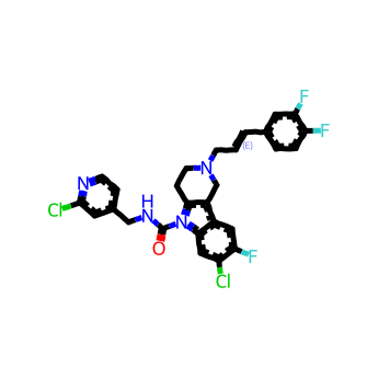 O=C(NCc1ccnc(Cl)c1)n1c2c(c3cc(F)c(Cl)cc31)CN(C/C=C/c1ccc(F)c(F)c1)CC2